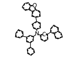 c1ccc(-c2cc(-c3ccccc3)cc(N(c3ccc(-c4ccc5oc6ccccc6c5c4)cc3)c3cccc(-c4cccc5ccccc45)c3)c2)cc1